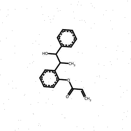 C=CC(=O)Oc1ccccc1C(C)C(O)c1ccccc1